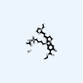 CCOC(=O)c1cc2c(cc1Br)n1c([n+]2CCCCS(=O)(=O)NC(C)=O)C(=CC=C2SCCN2CC)CC1.[Br-]